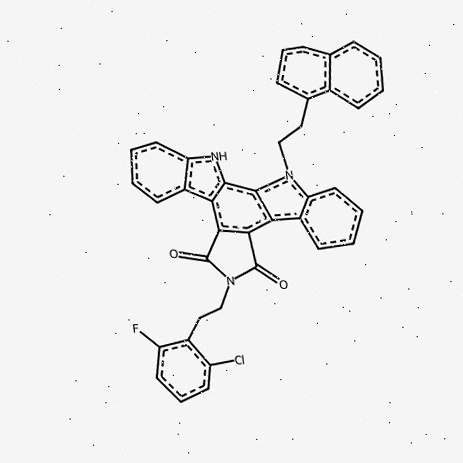 O=C1c2c(c3c4ccccc4n(CCc4cccc5ccccc45)c3c3[nH]c4ccccc4c23)C(=O)N1CCc1c(F)cccc1Cl